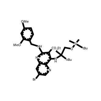 CCCCC(C)(CO[Si](C)(C)C(C)(C)C)Nc1c(C(=O)OCC)c(NCc2ccc(OC)cc2OC)nc2cc(Br)cnc12